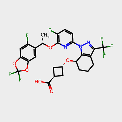 C[C@H](Oc1nc(-n2nc(C(F)(F)F)c3c2[C@H](O[C@H]2C[C@H](C(=O)O)C2)CCC3)ccc1F)c1cc2c(cc1F)OC(F)(F)O2